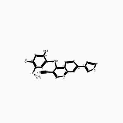 COc1cc(Nc2c(C#N)cnc3cc(-c4ccsc4)ccc23)c(Cl)cc1Cl